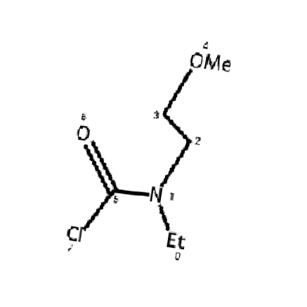 CCN(CCOC)C(=O)Cl